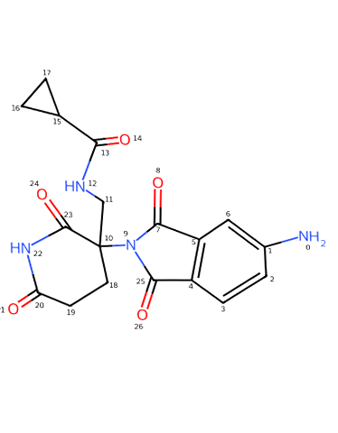 Nc1ccc2c(c1)C(=O)N(C1(CNC(=O)C3CC3)CCC(=O)NC1=O)C2=O